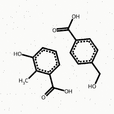 Cc1c(O)cccc1C(=O)O.O=C(O)c1ccc(CO)cc1